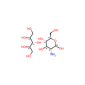 N[C@@H]1[C@@H](O)[C@H](O)[C@@H](CO)O[C@H]1O.OC[C@@H](O)[C@@H](O)[C@@H](O)CO